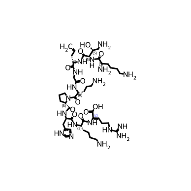 C=CC[C@H](NC(=O)[C@@H](NC(=O)[C@@H](N)CCCCN)[C@@H](O)CN)C(=O)NCC(=O)N[C@H](CCCN)C(=O)N1CCC[C@H]1C(=O)NC(Cc1cnc[nH]1)C(=O)N[C@@H](CCCCN)C(=O)N/C(=C\CCNC(=N)N)C(=O)O